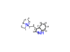 CC[N+](CC)(CC)CCc1c[nH]c2ccccc12